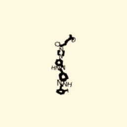 CC(=O)CCC(=O)N1CCN(c2ccc3[nH]c(-c4ccc5[nH]c(-c6ccccc6I)nc5c4)nc3c2)CC1